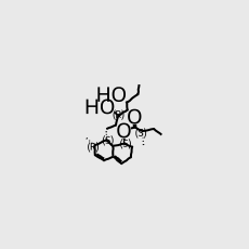 CCC(O)C[C@H](O)CC[C@@H]1C2C(=CCC[C@@H]2OC(=O)[C@@H](C)CC)C=C[C@@H]1C